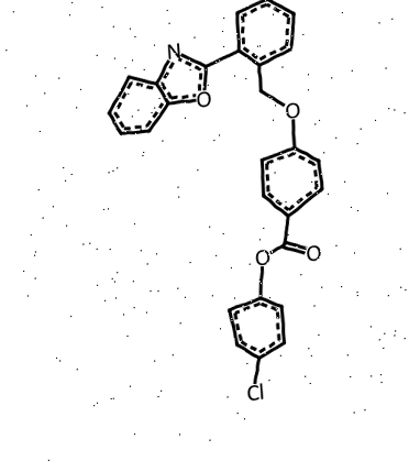 O=C(Oc1ccc(Cl)cc1)c1ccc(OCc2ccccc2-c2nc3ccccc3o2)cc1